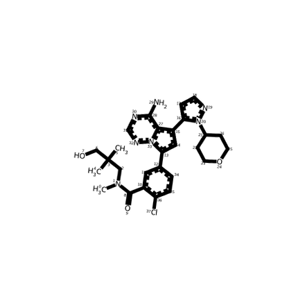 CN(CC(C)(C)CO)C(=O)c1cc(-c2cc(-c3ccnn3C3CCOCC3)c3c(N)ncnn23)ccc1Cl